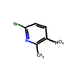 Cc1nc(Br)ccc1[N+](=O)[O-]